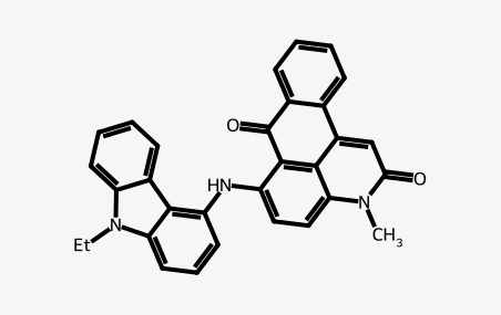 CCn1c2ccccc2c2c(Nc3ccc4c5c(cc(=O)n4C)-c4ccccc4C(=O)c35)cccc21